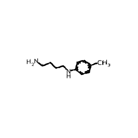 Cc1ccc(NCCCCN)cc1